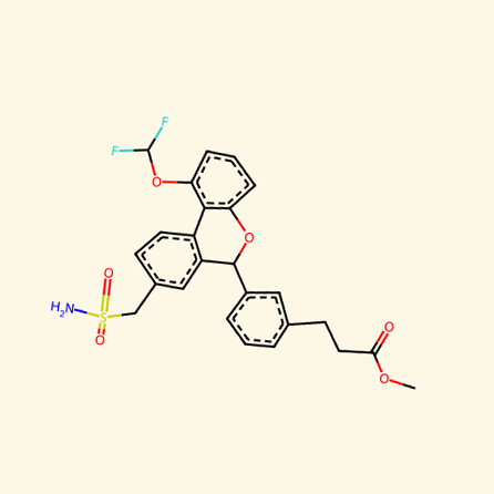 COC(=O)CCc1cccc(C2Oc3cccc(OC(F)F)c3-c3ccc(CS(N)(=O)=O)cc32)c1